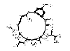 COc1cc2cc(c1)N(C)C(=O)C[C@H](OC(=O)C(C)C)[C@]1(C)O[C@H]1[C@H](C)[C@@H]1C[C@@](O)(NC(=O)O1)[C@H](OC)/C=C/C=C(\C)C2